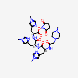 CN1CCN(CC(=O)N[C@@H](Cc2cn(C)cn2)C(=O)N[C@@H](Cc2cn(C)cn2)C(=O)N[C@@H](Cc2cn(C)cn2)C(=O)ON2C(=O)CCC2=O)CC1